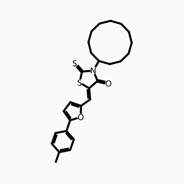 Cc1ccc(-c2ccc(C=C3SC(=S)N(C4CCCCCCCCCCC4)C3=O)o2)cc1